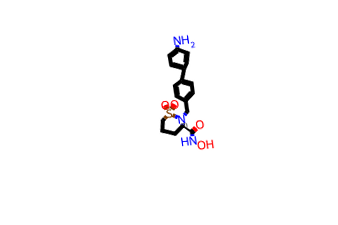 Nc1ccc(-c2ccc(CN3[C@@H](C(=O)NO)CCCS3(=O)=O)cc2)cc1